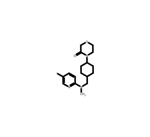 CN(CC1CCC(N2CCOCC2=O)CC1)c1ccc(I)cn1